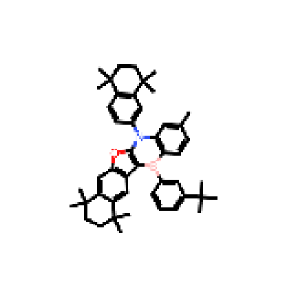 Cc1ccc2c(c1)N(c1ccc3c(c1)C(C)(C)CCC3(C)C)c1oc3cc4c(cc3c1B2c1cccc(C(C)(C)C)c1)C(C)(C)CCC4(C)C